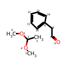 COC(C)OC.O=CCc1ccccc1